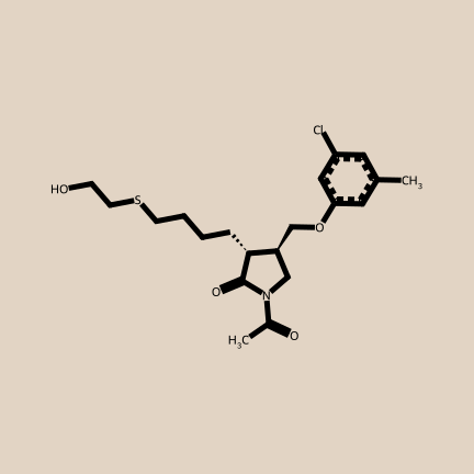 CC(=O)N1C[C@H](COc2cc(C)cc(Cl)c2)[C@@H](CCCCSCCO)C1=O